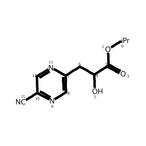 CC(C)OC(=O)C(O)Cc1cnc(C#N)cn1